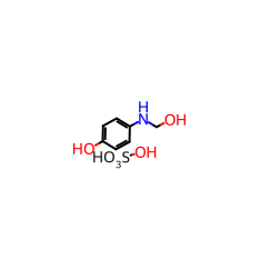 O=S(=O)(O)O.OCNc1ccc(O)cc1